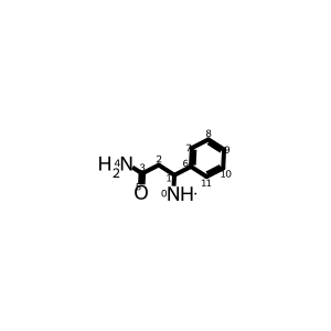 [NH]C(CC(N)=O)c1ccccc1